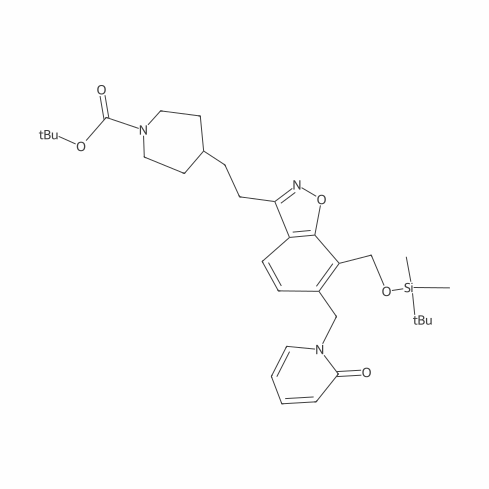 CC(C)(C)OC(=O)N1CCC(CCc2noc3c(CO[Si](C)(C)C(C)(C)C)c(Cn4ccccc4=O)ccc23)CC1